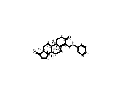 C[C@]12CC[C@H]3[C@@H](CCC4=C(CSc5ccccc5)C(=O)CC[C@@]43CO)[C@@H]1CCC2=O